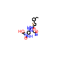 CCC1=CC(c2ccc(C(=O)Nc3nc4cc5c(cc4n3CCC(=O)N(C)C)[nH]c(=O)n5CC(C)(C)O)s2)=CCC1